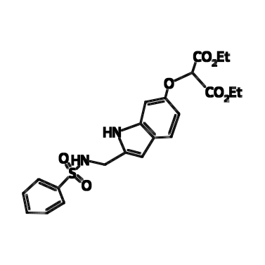 CCOC(=O)C(Oc1ccc2cc(CNS(=O)(=O)c3ccccc3)[nH]c2c1)C(=O)OCC